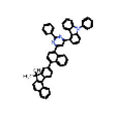 CC1(C)c2cc(-c3ccc(-c4cc(-c5cccc6c5c5ccccc5n6-c5ccccc5)nc(-c5ccccc5)n4)c4ccccc34)ccc2-c2c1ccc1ccccc21